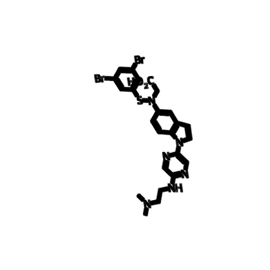 CN(C)CCNc1cnc(-n2ccc3cc(N(CC(=O)O)Sc4cc(Br)cc(Br)c4)ccc32)cn1